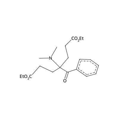 CCOC(=O)CCC(CCC(=O)OCC)(C(=O)c1ccccc1)N(C)C